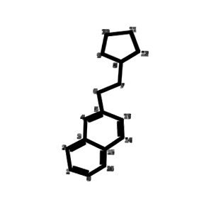 c1ccc2cc(CCC3CCCC3)ccc2c1